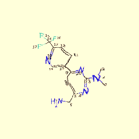 CN(C)c1nc(CN)cc(-c2ccc(C(F)(F)F)nc2)n1